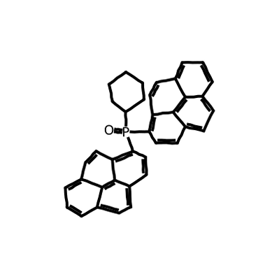 O=P(c1ccc2ccc3cccc4ccc1c2c34)(c1ccc2ccc3cccc4ccc1c2c34)C1CCCCC1